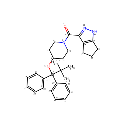 CC(C)(C)[Si](OC1CCN(C(=O)c2n[nH]c3c2CCC3)CC1)(c1ccccc1)c1ccccc1